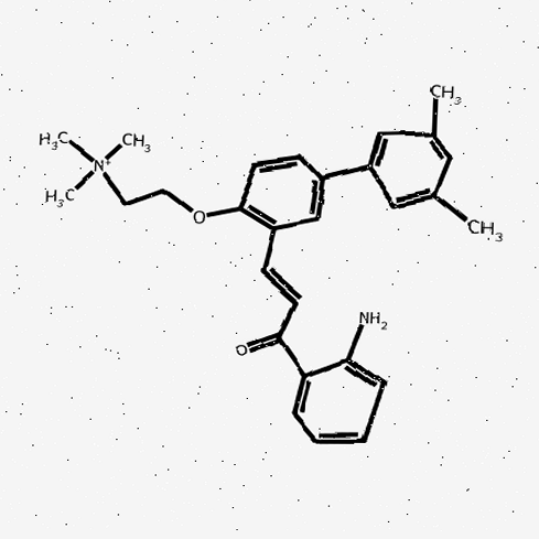 Cc1cc(C)cc(-c2ccc(OCC[N+](C)(C)C)c(C=CC(=O)c3ccccc3N)c2)c1